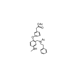 CBc1ccc(Oc2cccc(CC(=O)OC(C)=O)c2)c(CN(CCc2ccccc2)C(C)=O)c1